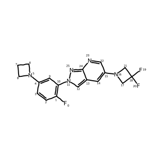 Fc1ccc(N2CCC2)cc1-n1cc2cc(N3CC(F)(F)C3)cnc2n1